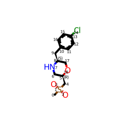 CS(=O)(=O)C[C@H]1CN[C@@H](Cc2ccc(Cl)cc2)CO1